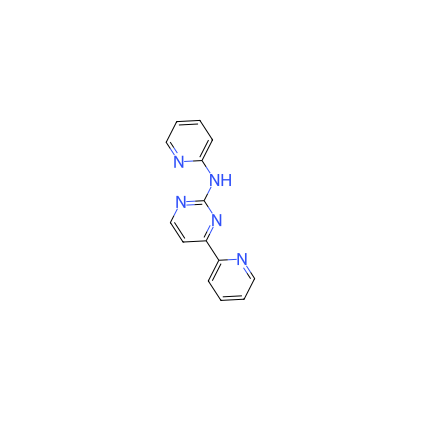 c1ccc(Nc2nccc(-c3ccccn3)n2)nc1